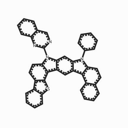 c1ccc(-n2c3cc4c(cc3c3c5ccccc5ccc32)c2c3sc5ccccc5c3ccc2n4-c2ncc3ccccc3n2)cc1